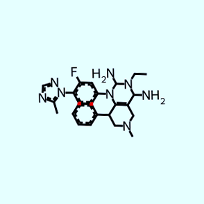 CCN1C(N)C2=C(C(c3ccccc3)CN(C)C2)N(c2ccc(-n3ncnc3C)c(F)c2)C1N